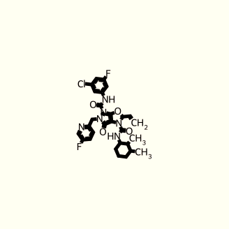 C=CC1Oc2c(c(=O)n(Cc3ccc(F)cn3)n2C(=O)Nc2cc(F)cc(Cl)c2)N1C(=O)NC1CCCC(C)C1C